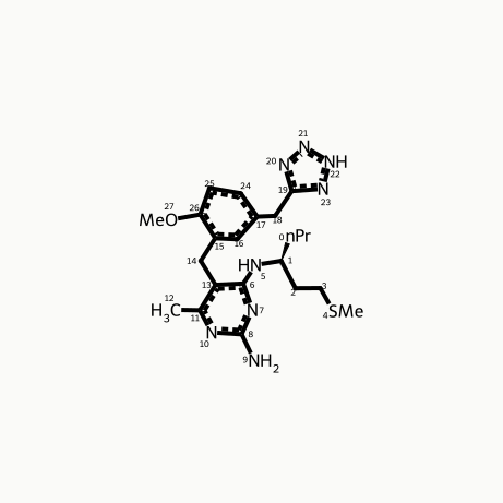 CCC[C@@H](CCSC)Nc1nc(N)nc(C)c1Cc1cc(Cc2nn[nH]n2)ccc1OC